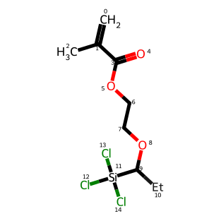 C=C(C)C(=O)OCCOC(CC)[Si](Cl)(Cl)Cl